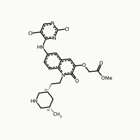 COC(=O)COc1cc2cc(Nc3nc(Cl)ncc3Cl)ccc2n(CC[C@H]2CNC[C@@H](C)C2)c1=O